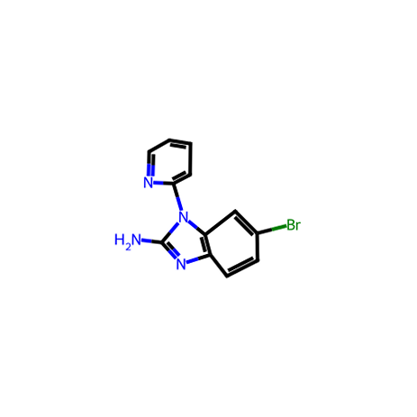 Nc1nc2ccc(Br)cc2n1-c1ccccn1